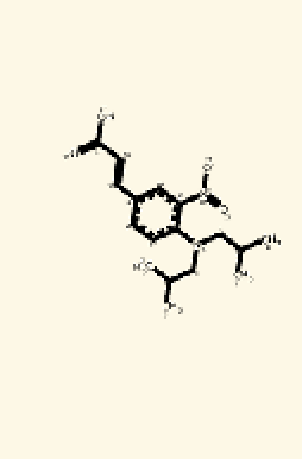 CC(C)CN(CC(C)C)c1ccc(C=CC(=O)O)cc1[N+](=O)[O-]